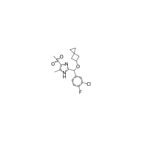 Cc1[nH]c(C(OC2CC3(CC3)C2)c2ccc(F)c(Cl)c2)nc1S(C)(=O)=O